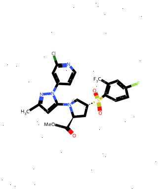 COC(=O)[C@@H]1C[C@@H](S(=O)(=O)c2ccc(F)cc2C(F)(F)F)CN1c1cc(C)nn1-c1ccnc(Cl)c1